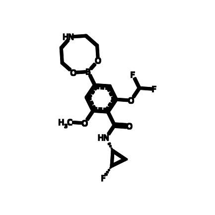 COc1cc(B2OCCNCCO2)cc(OC(F)F)c1C(=O)N[C@@H]1C[C@@H]1F